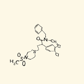 CN(Cc1ccccc1)C(=O)C(CCN1CCN(S(C)(=O)=O)CC1)c1ccc(Cl)c(Cl)c1